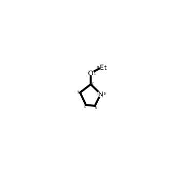 CCOC1CCC[N]1